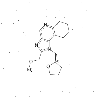 CCOCc1nc2cnc3c(c2n1C[C@H]1CCCO1)CCCC3